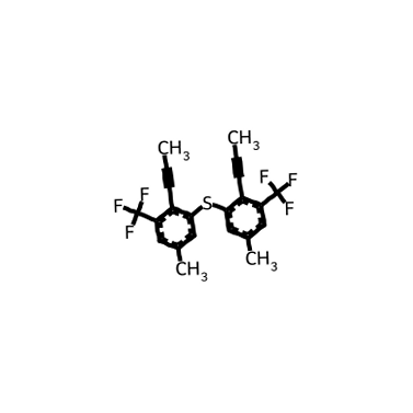 CC#Cc1c(Sc2cc(C)cc(C(F)(F)F)c2C#CC)cc(C)cc1C(F)(F)F